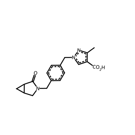 Cc1nn(Cc2ccc(CN3CC4CC4C3=O)cc2)cc1C(=O)O